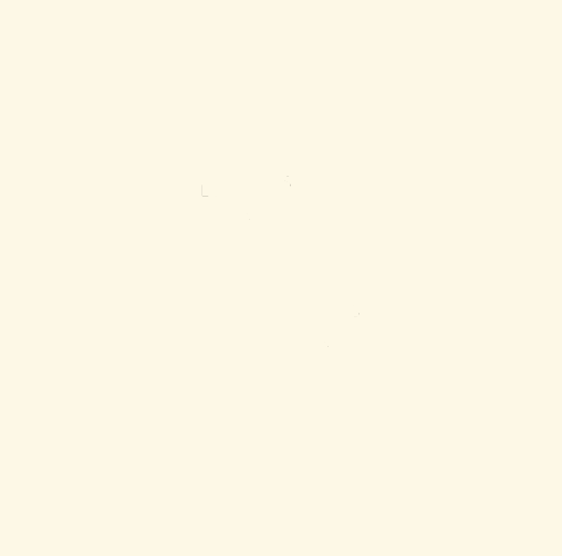 [CH2]CC(=S)CCCC(C)=S